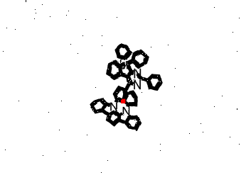 c1ccc(-c2nc(-c3ccc(-n4c5ccccc5c5ccc6c7ccccc7n(-c7ccccc7)c6c54)cc3)c3c(n2)[Si](c2ccccc2)(c2ccccc2)c2ccccc2-3)cc1